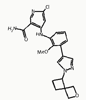 COc1c(Nc2cc(Cl)ncc2C(N)=O)cccc1-c1cnn(C2CCC23COC3)c1